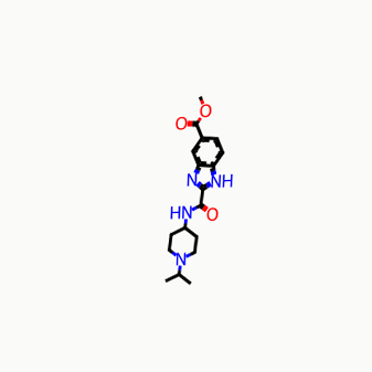 COC(=O)c1ccc2[nH]c(C(=O)NC3CCN(C(C)C)CC3)nc2c1